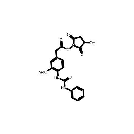 COc1cc(CC(=O)ON2C(=O)CC(O)C2=O)ccc1NC(=O)Nc1ccccc1